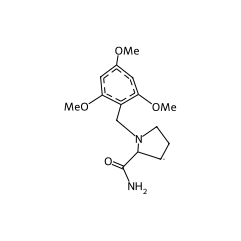 COc1cc(OC)c(CN2CC[CH]C2C(N)=O)c(OC)c1